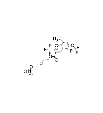 Cc1cc(OC(F)(F)F)cc2c1O[C@H](C(F)(F)F)C(C(=O)OCCOCCO[N+](=O)[O-])=C2